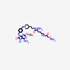 CCCCOc1nc(N)c2[nH]c(=O)n(Cc3ccc(CN4CCC(CCNC(=O)C(N)CCCCNC(=O)CON)CC4)cc3)c2n1